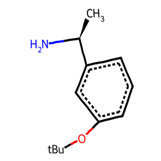 C[C@H](N)c1cccc(OC(C)(C)C)c1